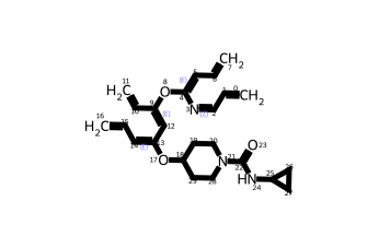 C=C/C=N\C(=C/C=C)O/C(C=C)=C/C(=C\C=C)OC1CCN(C(=O)NC2CC2)CC1